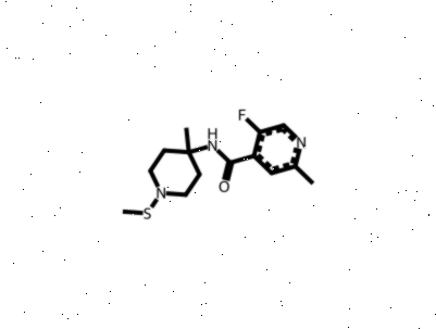 CSN1CCC(C)(NC(=O)c2cc(C)ncc2F)CC1